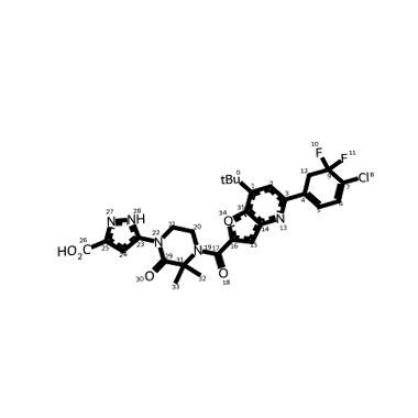 CC(C)(C)c1cc(C2=CC=C(Cl)C(F)(F)C2)nc2cc(C(=O)N3CCN(c4cc(C(=O)O)n[nH]4)C(=O)C3(C)C)oc12